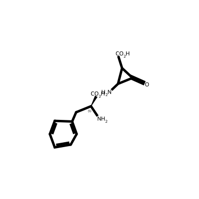 NC1C(=O)C1C(=O)O.N[C@@H](Cc1ccccc1)C(=O)O